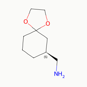 NC[C@H]1CCCC2(C1)OCCO2